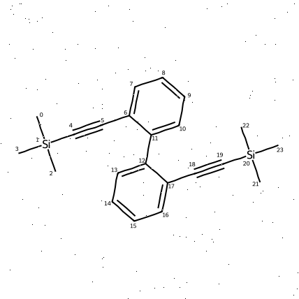 C[Si](C)(C)C#Cc1ccccc1-c1ccccc1C#C[Si](C)(C)C